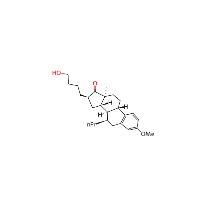 CCC[C@@H]1Cc2cc(OC)ccc2[C@H]2CC[C@]3(C)C(=O)[C@H](CCCCO)C[C@H]3[C@H]12